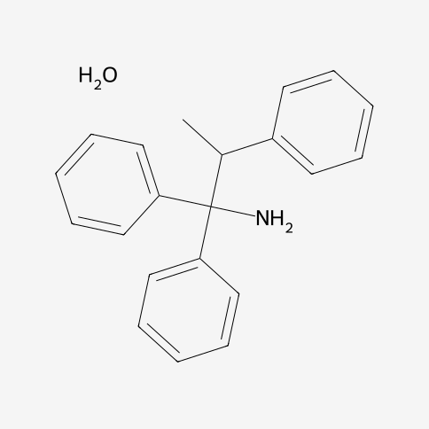 CC(c1ccccc1)C(N)(c1ccccc1)c1ccccc1.O